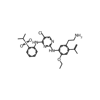 C=C(C)c1cc(OCC)c(Nc2ncc(Cl)c(Nc3ccccc3S(=O)(=O)C(C)C)n2)cc1CCN